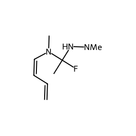 C=C/C=C\N(C)C(C)(F)NNC